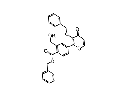 O=C(OCc1ccccc1)c1ccc(-c2occc(=O)c2OCc2ccccc2)cc1CO